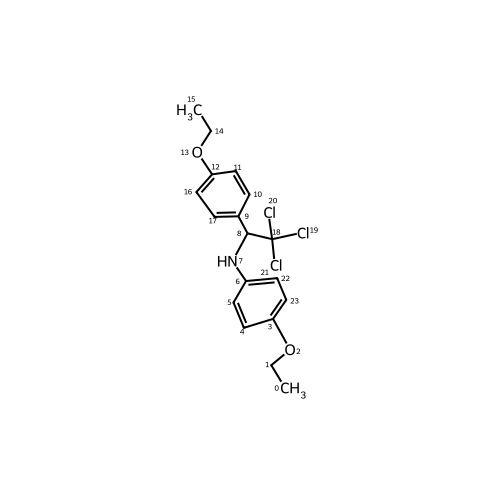 CCOc1ccc(NC(c2ccc(OCC)cc2)C(Cl)(Cl)Cl)cc1